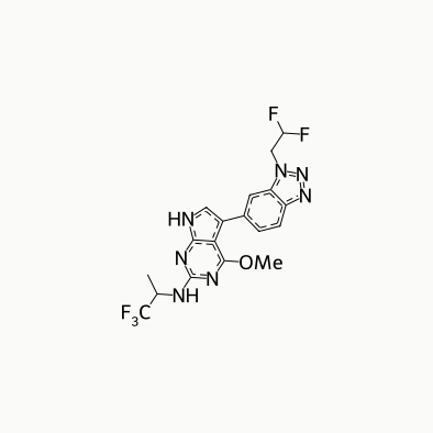 COc1nc(NC(C)C(F)(F)F)nc2[nH]cc(-c3ccc4nnn(CC(F)F)c4c3)c12